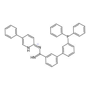 N=C(/N=c1/ccc(-c2ccccc2)c[nH]1)c1cccc(-c2cccc(P(c3ccccc3)c3ccccc3)c2)c1